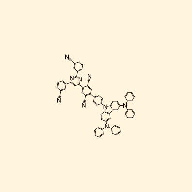 N#Cc1cccc(-c2cc(-c3cc(C#N)c(-c4ccc(-n5c6ccc(N(c7ccccc7)c7ccccc7)cc6c6cc(N(c7ccccc7)c7ccccc7)ccc65)cc4)cc3C#N)nc(-c3cccc(C#N)c3)n2)c1